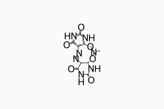 CN1Oc2[nH]c(=O)[nH]c(=O)c2/N=N/C2C(=O)NC(=O)NC2O1